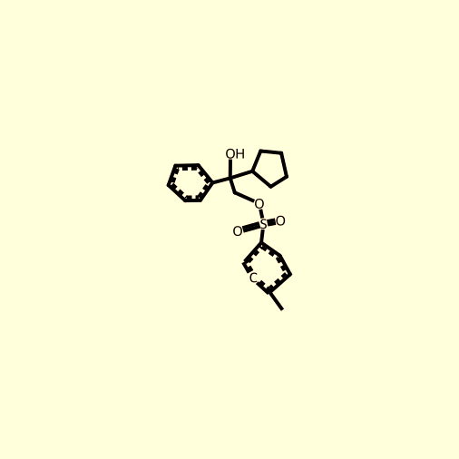 Cc1ccc(S(=O)(=O)OCC(O)(c2ccccc2)C2CCCC2)cc1